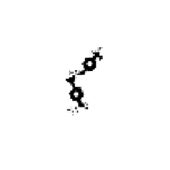 NC(=O)c1ccc(C2CC2NCc2ccc(C(F)(F)F)cc2)cc1